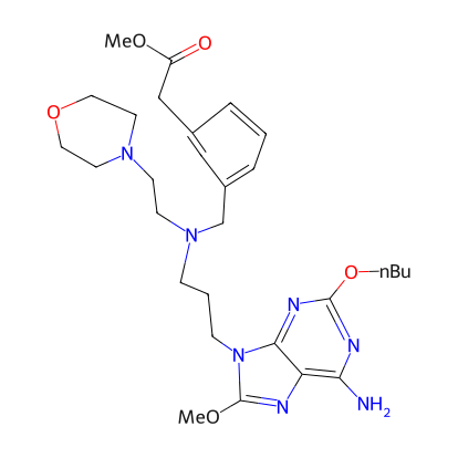 CCCCOc1nc(N)c2nc(OC)n(CCCN(CCN3CCOCC3)Cc3cccc(CC(=O)OC)c3)c2n1